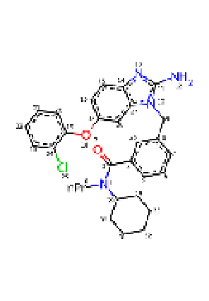 CCCN(C(=O)c1cccc(Cn2c(N)nc3ccc(Oc4ccccc4Cl)cc32)c1)C1CCCCC1